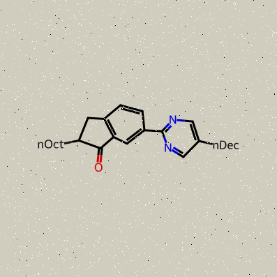 CCCCCCCCCCc1cnc(-c2ccc3c(c2)C(=O)C(CCCCCCCC)C3)nc1